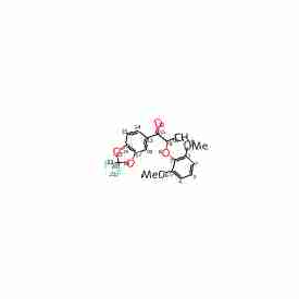 COc1cccc(OC)c1OC(C)C(=O)c1ccc2c(c1)OC(F)(F)O2